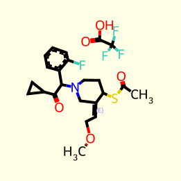 COC/C=C1\CN(C(C(=O)C2CC2)c2ccccc2F)CCC1SC(C)=O.O=C(O)C(F)(F)F